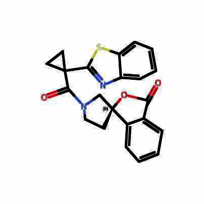 O=C1O[C@]2(CCN(C(=O)C3(c4nc5ccccc5s4)CC3)C2)c2ccccc21